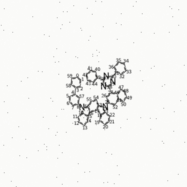 c1ccc(-c2cccc(-n3c4ccccc4c4c5c6ccccc6n(-c6cc(-c7nc(-c8ccccc8)nc(-c8ccccc8)n7)c7ccccc7c6)c5ccc43)c2)cc1